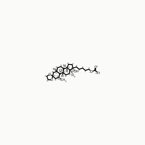 CCC(=O)OCCCCC[C@]1(O)CC[C@H]2[C@@H]3CC[C@H]4CC5(C[C@H](C)[C@]4(C)[C@H]3CC[C@@]21C)OCCO5